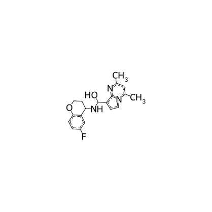 Cc1cc(C)n2ccc(C(O)NC3CCOc4ccc(F)cc43)c2n1